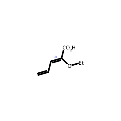 C=C/C=C(\OCC)C(=O)O